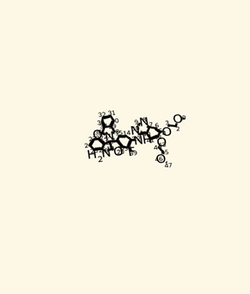 COCCOc1cc2ncnc(Nc3ccc(C(C(N)=O)(c4ccccc4)N4Cc5ccccc5C4=O)cc3F)c2cc1OCCOC